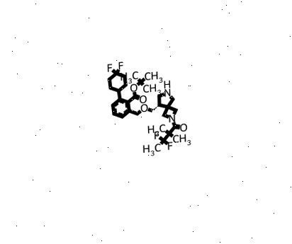 CC(C)(C)OC(=O)c1c(COC[C@@H]2CNCC23CN(C(=O)C(C)(C)C(C)(F)F)C3)cccc1C1CCC(F)(F)CC1